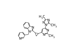 Cc1nc(C2CC2c2nc3ccccc3n2Cc2cccnc2)cc(-n2nc(C)nc2C)n1